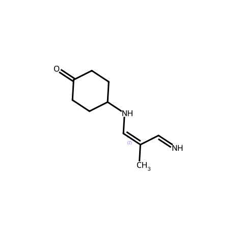 C/C(C=N)=C/NC1CCC(=O)CC1